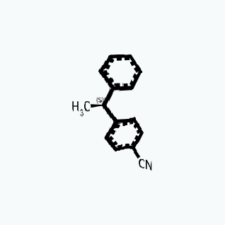 C[C@@H](c1ccccc1)c1ccc(C#N)cc1